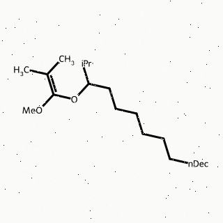 CCCCCCCCCCCCCCCCC(OC(OC)=C(C)C)[C](C)C